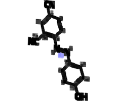 N#Cc1ccc(/N=N/c2ccc(O)cc2)c(C#N)c1